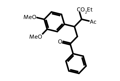 CCOC(=O)C(C(C)=O)C(CC(=O)c1ccccc1)c1ccc(OC)c(OC)c1